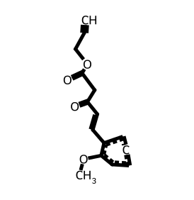 C#CCOC(=O)CC(=O)C=Cc1ccccc1OC